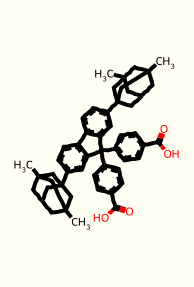 CC12CC3CC(C)(C1)CC(c1ccc4c(c1)C(c1ccc(C(=O)O)cc1)(c1ccc(C(=O)O)cc1)c1cc(C56CC7CC(C)(CC(C)(C7)C5)C6)ccc1-4)(C3)C2